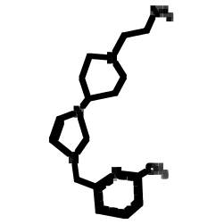 Cc1cccc(CN2C=CN(C3CCN(CCN)CC3)C2)n1